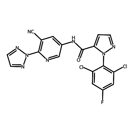 N#Cc1cc(NC(=O)c2ccnn2-c2c(Cl)cc(F)cc2Cl)cnc1-n1nccn1